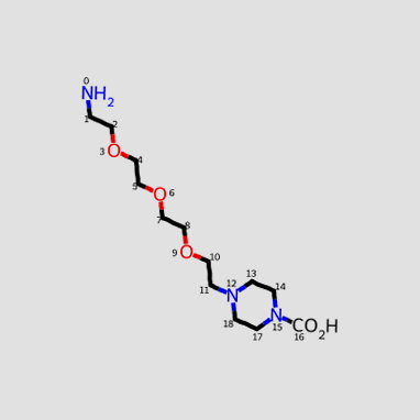 NCCOCCOCCOCCN1CCN(C(=O)O)CC1